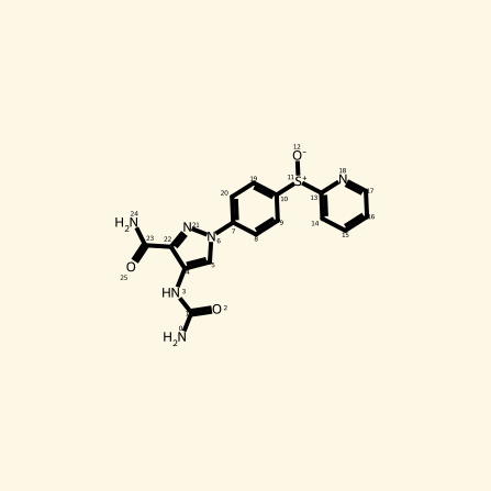 NC(=O)Nc1cn(-c2ccc([S+]([O-])c3ccccn3)cc2)nc1C(N)=O